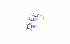 CC(=O)NC(=O)[C@H]1CCCN1